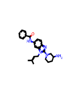 CC(C)=CCn1c(N2CCCC(N)C2)nc2ccc(NC(=O)c3ccccc3)cc21